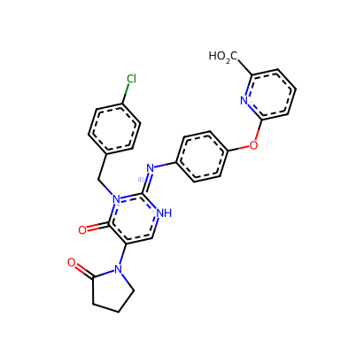 O=C(O)c1cccc(Oc2ccc(/N=c3\[nH]cc(N4CCCC4=O)c(=O)n3Cc3ccc(Cl)cc3)cc2)n1